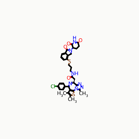 Cc1sc2c(c1C)C(c1ccc(Cl)cc1)=N[C@@H](CC(=O)NCCCSc1cccc3c1CN(C1CCC(=O)NC1=O)C3=O)c1nnc(C)n1-2